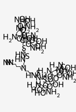 [N-]=[N+]=NCCCCCN(CCCCNC(=S)NCCSC[C@H]1OC(O[C@@H]2C(O)[C@H](N)CC(N)[C@H]2O[C@H]2OC(CN)[C@@H](O)[C@H](O)C2N)[C@@H](O)[C@H]1O[C@H]1OC(CN)[C@@H](O)C(O)[C@H]1N)CCCNC(=S)NCCSC[C@H]1OC(O[C@@H]2C(O)[C@H](N)CC(N)[C@H]2O[C@@H]2OC(CN)[C@@H](O)[C@H](O)C2N)[C@@H](O)[C@H]1O[C@H]1OC(CN)[C@@H](O)C(O)[C@H]1N